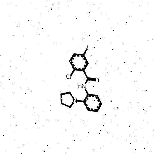 O=C(Nc1ccccc1N1CCCC1)c1cc(I)ccc1Cl